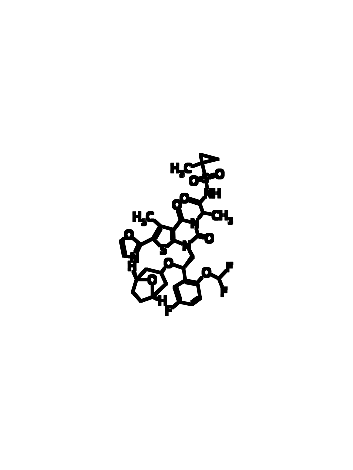 Cc1c(-c2ncco2)sc2c1c(=O)n(C(C)C(=O)NS(=O)(=O)C1(C)CC1)c(=O)n2C[C@H](OC1C[C@H]2CC[C@@H](C1)O2)c1cc(F)ccc1OC(F)F